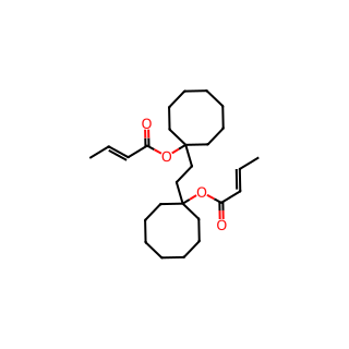 C/C=C/C(=O)OC1(CCC2(OC(=O)/C=C/C)CCCCCCC2)CCCCCCC1